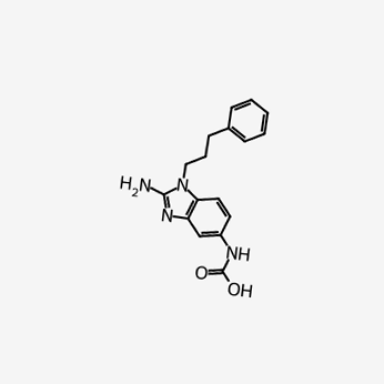 Nc1nc2cc(NC(=O)O)ccc2n1CCCc1ccccc1